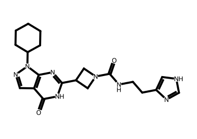 O=C(NCCc1c[nH]cn1)N1CC(c2nc3c(cnn3C3CCCCC3)c(=O)[nH]2)C1